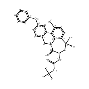 CC(C)(C)OC(=O)NC1CC(F)(F)c2ccc(Br)cc2N(Cc2ccc(Oc3ccccc3)cc2)C1=O